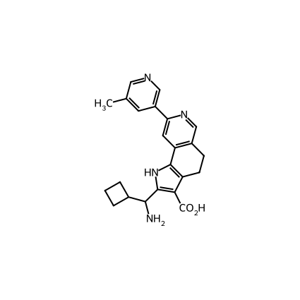 Cc1cncc(-c2cc3c(cn2)CCc2c-3[nH]c(C(N)C3CCC3)c2C(=O)O)c1